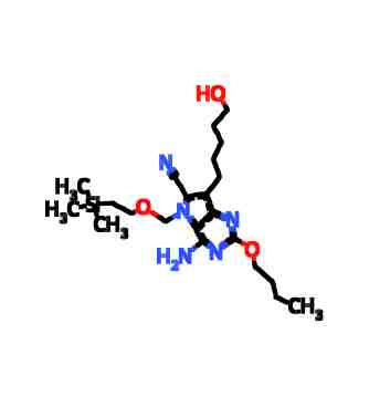 CCCCOc1nc(N)c2c(n1)c(CCCCCO)c(C#N)n2COCC[Si](C)(C)C